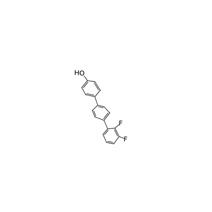 Oc1ccc(-c2ccc(-c3cccc(F)c3F)cc2)cc1